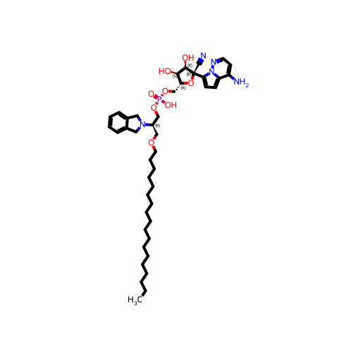 CCCCCCCCCCCCCCCCCCOC[C@H](COP(=O)(O)OC[C@H]1O[C@@](C#N)(c2ccc3c(N)ccnn23)[C@H](O)[C@@H]1O)N1Cc2ccccc2C1